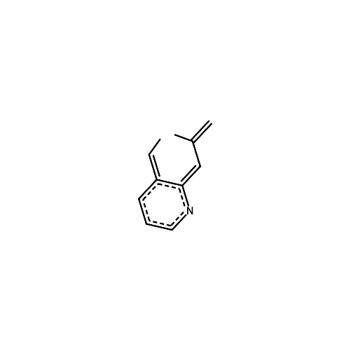 C=C(C)/C=c1/nccc/c1=C/C